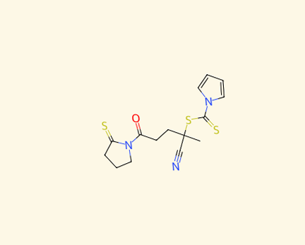 CC(C#N)(CCC(=O)N1CCCC1=S)SC(=S)n1cccc1